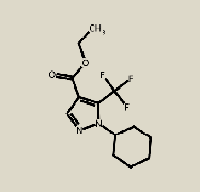 CCOC(=O)c1cnn(C2CCCCC2)c1C(F)(F)F